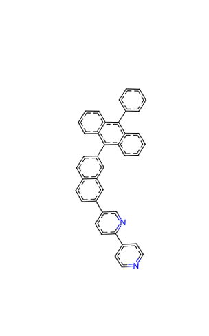 c1ccc(-c2c3ccccc3c(-c3ccc4ccc(-c5ccc(-c6ccncc6)nc5)cc4c3)c3ccccc23)cc1